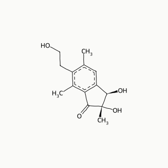 Cc1cc2c(c(C)c1CCO)C(=O)[C@@](C)(O)[C@@H]2O